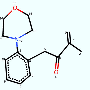 C=C(C)C(=O)Cc1ccccc1N1CCOCC1